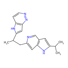 CC(C)c1cc2cnc(CC(C)c3cc4nnccc4[nH]3)cc2[nH]1